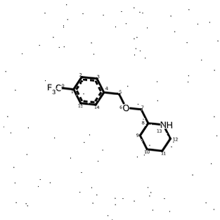 FC(F)(F)c1ccc(COCC2CCCCN2)cc1